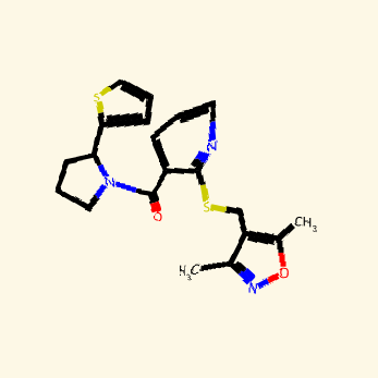 Cc1noc(C)c1CSc1ncccc1C(=O)N1CCCC1c1cccs1